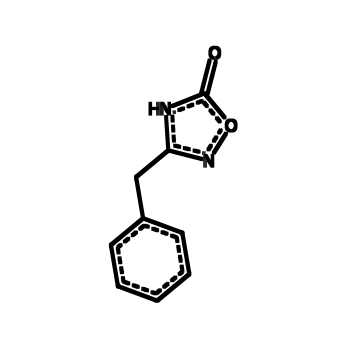 O=c1[nH]c(Cc2ccccc2)no1